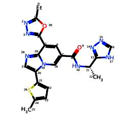 CCc1nnc(-c2cc(C(=O)N[C@@H](C)c3nnc[nH]3)cn3c(-c4ccc(C)s4)cnc23)o1